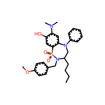 CCCCC1CN(c2ccccc2)c2cc(N(C)C)c(O)cc2S(=O)(=O)N1Cc1ccc(OC)cc1